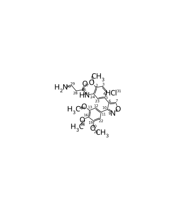 COc1ccc(-c2conc2-c2cc(OC)c(OC)c(OC)c2)cc1NC(=O)CCN.Cl